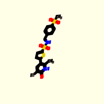 CCc1cc(C2CC=C(S(=O)(=O)NCc3ccc(S(C)(=O)=O)cc3)S2)c(C)[nH]c1=O